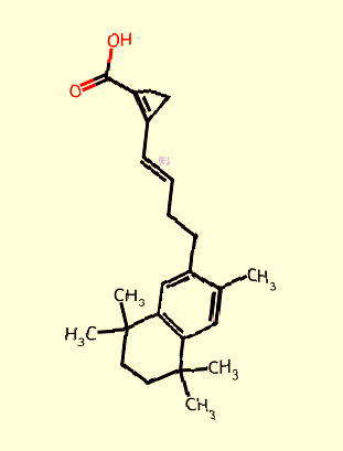 Cc1cc2c(cc1CC/C=C/C1=C(C(=O)O)C1)C(C)(C)CCC2(C)C